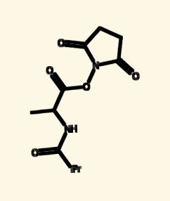 CC(C)C(=O)NC(C)C(=O)ON1C(=O)CCC1=O